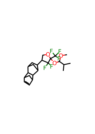 COC(OC1(C(F)(F)F)OCC(C2CC3CC2C2C4C=CC(C4)C32)C1(F)F)C(C)C